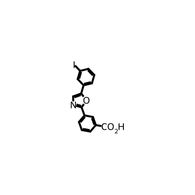 O=C(O)c1cccc(-c2ncc(-c3cccc(I)c3)o2)c1